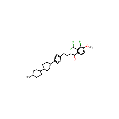 CCCC1CCC(C2CCC(c3ccc(CCCC(=O)c4ccc(OCC)c(F)c4C(F)F)cc3)CC2)CC1